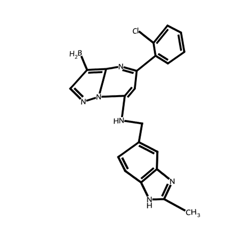 Bc1cnn2c(NCc3ccc4[nH]c(C)nc4c3)cc(-c3ccccc3Cl)nc12